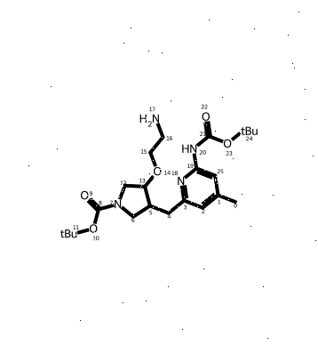 Cc1cc(CC2CN(C(=O)OC(C)(C)C)CC2OCCN)nc(NC(=O)OC(C)(C)C)c1